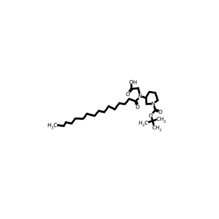 CCCCCCCCCCCCCCCC(=O)N(CC(=O)O)C1CCCN(C(=O)OC(C)(C)C)C1